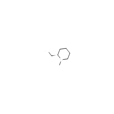 C[C](C)C[C@H]1CCCCN1C